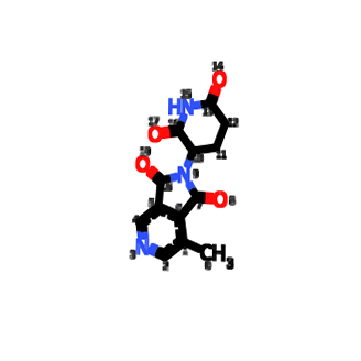 Cc1cncc2c1C(=O)N(C1CCC(=O)NC1=O)C2=O